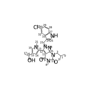 CC(C)Cn1c(=O)n(C)c(=O)c2c(-c3cc(C(C)O)cn3C)n(Cc3c[nH]c4ccc(Cl)cc34)nc21